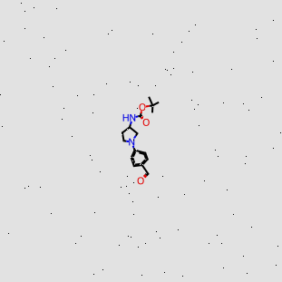 CC(C)(C)OC(=O)NC1CCN(c2ccc(C=O)cc2)C1